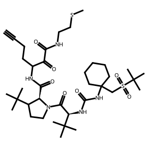 C#CCCC(NC(=O)[C@@H]1C(C(C)(C)C)CCN1C(=O)[C@@H](NC(=O)NC1(CS(=O)(=O)C(C)(C)C)CCCCC1)C(C)(C)C)C(=O)C(=O)NCCSC